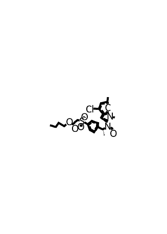 CCCCOC(=O)CS(=O)(=O)c1ccc([C@@H](C)N(C=O)c2cc3c(Cl)cc(C)cc3n2C)cc1